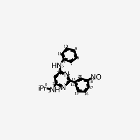 CC(C)Nc1cc(Nc2ccccc2)nc(-c2cccc(N=O)c2)n1